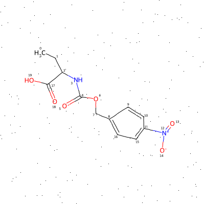 CCC(NC(=O)OCc1ccc([N+](=O)[O-])cc1)C(=O)O